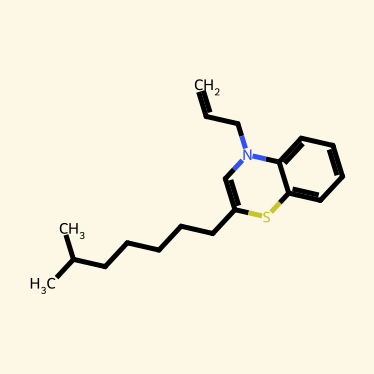 C=CCN1C=C(CCCCCC(C)C)Sc2ccccc21